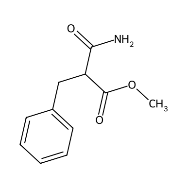 COC(=O)C(Cc1ccccc1)C(N)=O